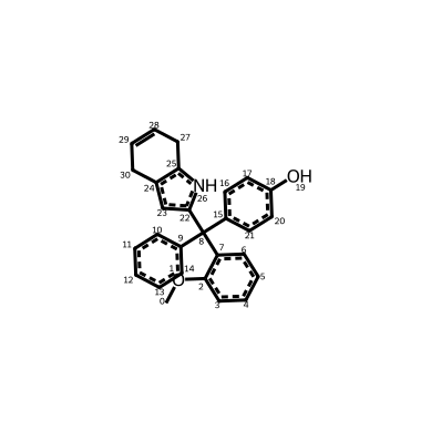 COc1ccccc1C(c1ccccc1)(c1ccc(O)cc1)c1cc2c([nH]1)CC=CC2